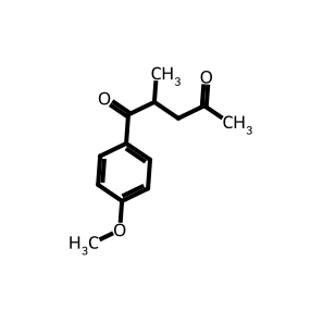 COc1ccc(C(=O)C(C)CC(C)=O)cc1